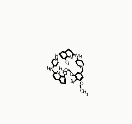 CCOc1cc(CN2CCC(Nc3ccc4cccc(Cl)c4n3)CC2)cc(OCC)c1Br.Clc1cccc2ccc(NC3CCNCC3)nc12